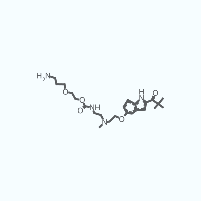 CN(CCNC(=O)OCCOCCCN)CCOc1ccc2[nH]c(C(=O)C(C)(C)C)cc2c1